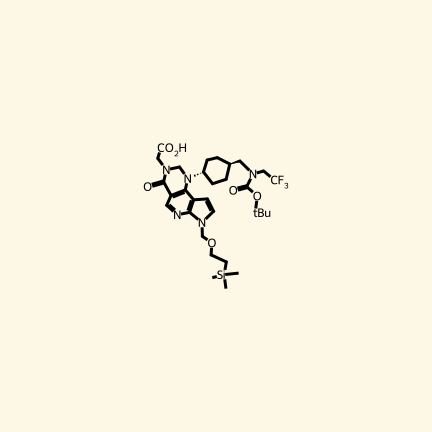 CC(C)(C)OC(=O)N(CC(F)(F)F)C[C@H]1CC[C@H](N2CN(CC(=O)O)C(=O)c3cnc4c(ccn4COCC[Si](C)(C)C)c32)CC1